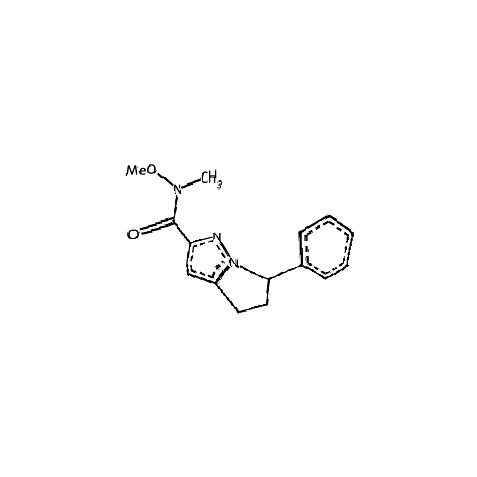 CON(C)C(=O)c1cc2n(n1)C(c1ccccc1)CC2